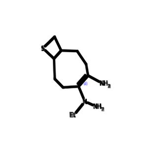 CCN(N)/C1=C(\N)CCC2CSC2CC1